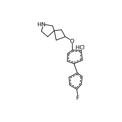 Cl.Fc1ccc(-c2ccc(OC3CC4(CCNC4)C3)cc2)cc1